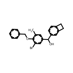 Cc1cc(C(O)c2ccc3c(c2)CC3)cc(Br)c1OCc1ccccc1